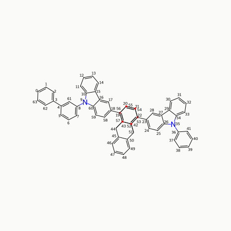 c1ccc(-c2cccc(-n3c4ccccc4c4cc(-c5ccc(-c6ccc7c(c6)c6ccccc6n7-c6ccccc6)c6c5C5c7ccccc7C6c6ccccc65)ccc43)c2)cc1